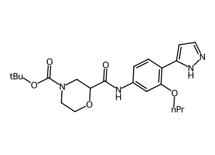 CCCOc1cc(NC(=O)C2CN(C(=O)OC(C)(C)C)CCO2)ccc1-c1ccn[nH]1